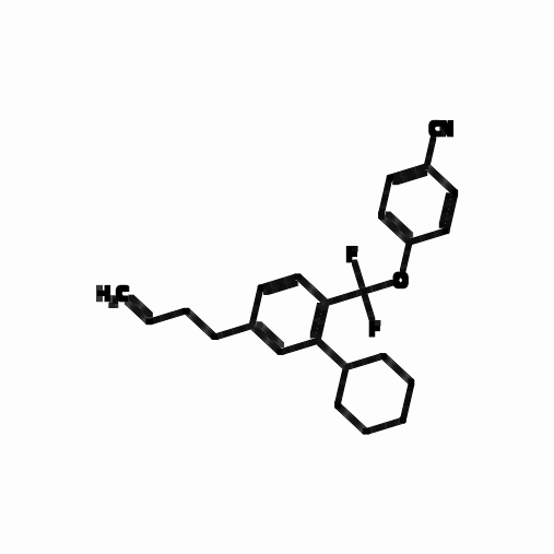 C=CCCc1ccc(C(F)(F)Oc2ccc(C#N)cc2)c(C2CCCCC2)c1